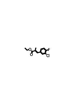 CCOC(=O)/C(C)=C/c1ccc(F)c(Cl)c1